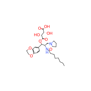 CCCCCCCC(=O)N[C@H](CN1CCCC1)[C@H](OC(=O)[C@H](O)[C@@H](O)C(=O)O)c1ccc2c(c1)OCCO2